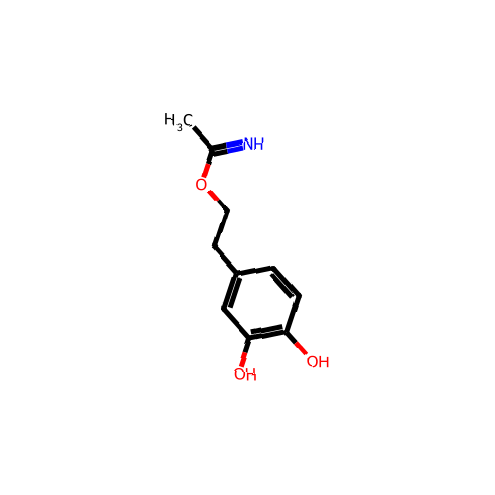 CC(=N)OCCc1ccc(O)c(O)c1